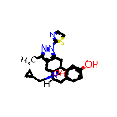 Cc1nn(-c2nccs2)c2c1C[C@@]1(O)[C@H]3Cc4ccc(O)cc4[C@@]1(CCN3CC1CC1)C2